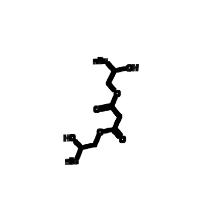 CCCCC(O)COC(=O)CC(=O)OCC(O)CCCC